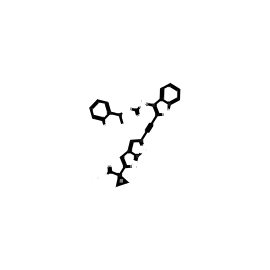 CC(OC(=O)Nc1c(C#CC2=NC3=NC(C4(C(=O)O)CC4)=CC3=C2)oc2ccccc12)c1ccccc1Cl